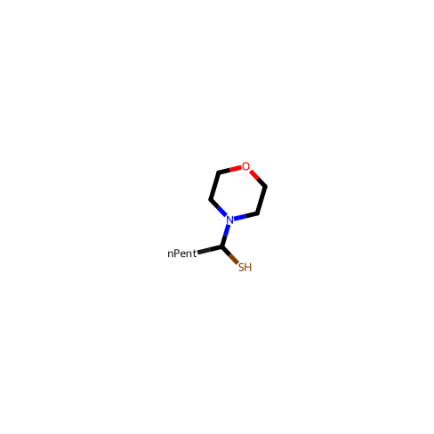 CCCCCC(S)N1CCOCC1